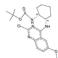 COc1ccc2nc(Cl)nc(N[C@H]3CCCC[C@H]3NC(=O)OC(C)(C)C)c2c1